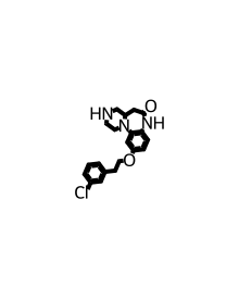 O=C1CC2CNCCN2c2cc(OCCc3cccc(Cl)c3)ccc2N1